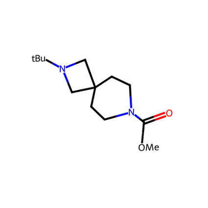 COC(=O)N1CCC2(CC1)CN(C(C)(C)C)C2